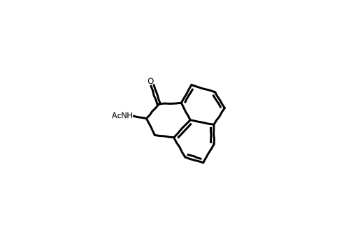 CC(=O)NC1Cc2cccc3cccc(c23)C1=O